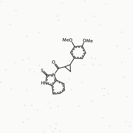 COc1ccc(C2CC2C(=O)n2c(=S)[nH]c3ccccc32)cc1OC